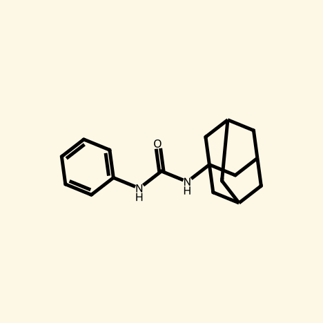 O=C(Nc1ccccc1)NC12CC3CC(CC(C3)C1)C2